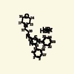 Br.Br.c1ccc(-c2nc(=NCCN3CCOCC3)sn2-c2ccccc2)cc1